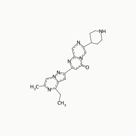 CCc1nc(C)cn2nc(-c3cc(=O)n4cc(C5CCNCC5)ncc4n3)cc12